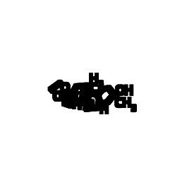 C[C@]1(O)CC[C@@]2(C)[C@@H](CC[C@@H]3[C@@H]2CC[C@@]2(C)[C@H]3CCC23OCCO3)C1